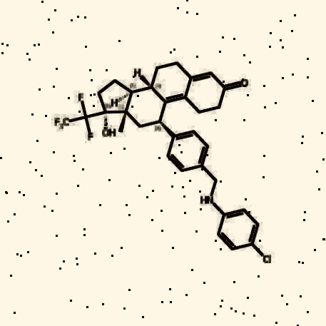 C[C@]12C[C@H](c3ccc(CNc4ccc(Cl)cc4)cc3)C3=C4CCC(=O)C=C4CC[C@H]3[C@@H]1CC[C@]2(O)C(F)(F)C(F)(F)F